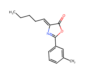 CCCC/C=C1\N=C(c2cccc(C)c2)OC1=O